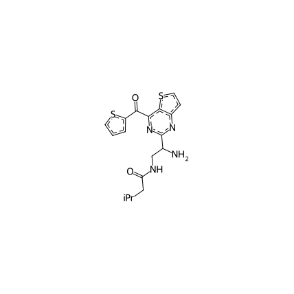 CC(C)CC(=O)NCC(N)c1nc(C(=O)c2cccs2)c2sccc2n1